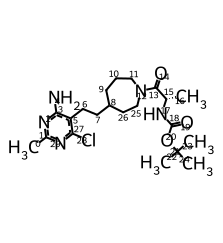 Cc1nc(N)c(CCC2CCCN(C(=O)[C@H](C)NC(=O)OC(C)(C)C)CC2)c(Cl)n1